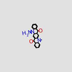 CN1C2=CC3C(=O)c4ccccc4N(N)C3C=C2C(=O)C2C=CC=CC21